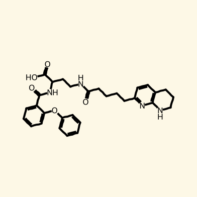 O=C(CCCCc1ccc2c(n1)NCCC2)NCCC(NC(=O)c1ccccc1Oc1ccccc1)C(=O)O